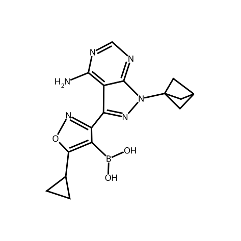 Nc1ncnc2c1c(-c1noc(C3CC3)c1B(O)O)nn2C12CC(C1)C2